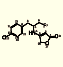 O=C1C=C(NC(CF)Cc2ccc(Cl)nc2)CO1